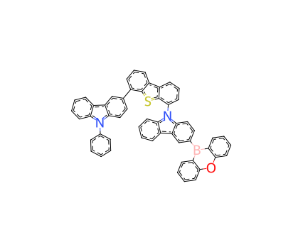 c1ccc(-n2c3ccccc3c3cc(-c4cccc5c4sc4c(-n6c7ccccc7c7cc(B8c9ccccc9Oc9ccccc98)ccc76)cccc45)ccc32)cc1